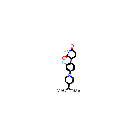 COC(OC)C1CCN(c2ccc(C3CCC(=O)NC3=O)c(F)c2)CC1